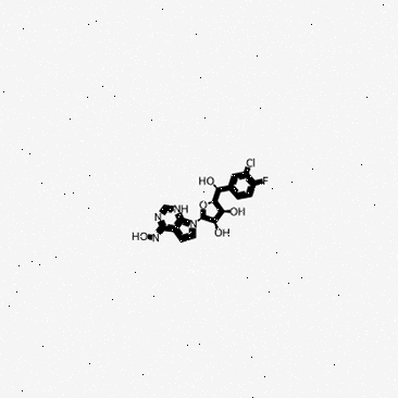 O/N=c1\nc[nH]c2c1ccn2[C@@H]1O[C@H]([C@H](O)c2ccc(F)c(Cl)c2)[C@@H](O)[C@H]1O